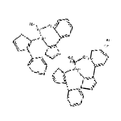 C[SiH](C)[Hf+]([C]1=C(c2ccccc2)C=CC1)[C]1=C(c2ccccc2)C=CC1.C[SiH](C)[Hf+]([C]1=C(c2ccccc2)C=CC1)[C]1=C(c2ccccc2)C=CC1.[Cl-].[Cl-]